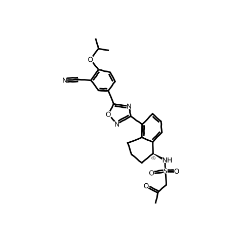 CC(=O)CS(=O)(=O)N[C@H]1CCCc2c(-c3noc(-c4ccc(OC(C)C)c(C#N)c4)n3)cccc21